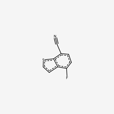 N#Cc1ccc(F)c2ccsc12